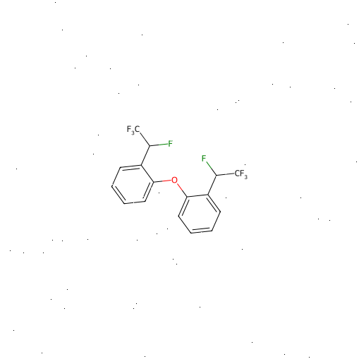 FC(c1ccccc1Oc1ccccc1C(F)C(F)(F)F)C(F)(F)F